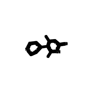 Cc1cc(=O)[nH]c(C)c1-c1ccncc1